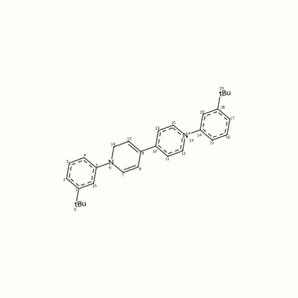 CC(C)(C)c1cccc(N2C=CC(c3cc[n+](-c4cccc(C(C)(C)C)c4)cc3)=CC2)c1